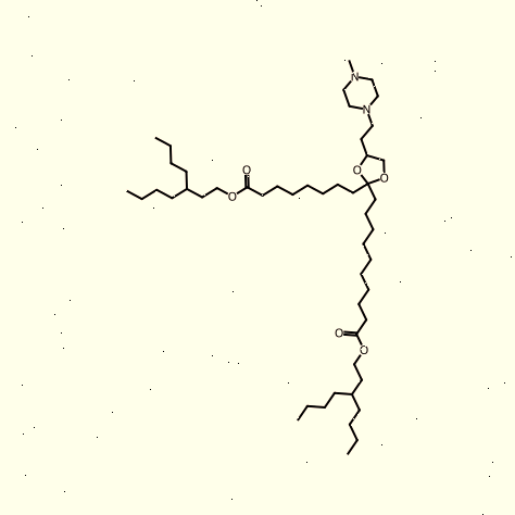 CCCCC(CCCC)CCOC(=O)CCCCCCCCCC1(CCCCCCCC(=O)OCCC(CCCC)CCCC)OCC(CCN2CCN(C)CC2)O1